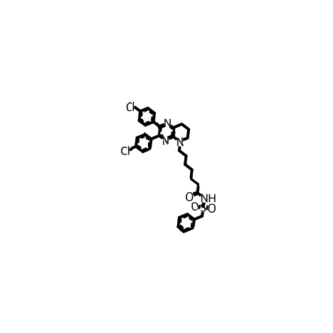 O=C(CCCCCCN1CCCc2nc(-c3ccc(Cl)cc3)c(-c3ccc(Cl)cc3)nc21)NS(=O)(=O)Cc1ccccc1